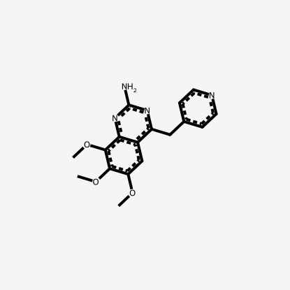 COc1cc2c(Cc3ccncc3)nc(N)nc2c(OC)c1OC